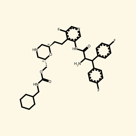 NC(C(=O)Nc1cncc(F)c1CC[C@@H]1CNC[C@@H](COC(=O)NCC2CCCCC2)O1)C(c1ccc(F)cc1)c1ccc(F)cc1